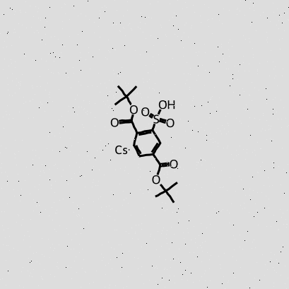 CC(C)(C)OC(=O)c1ccc(C(=O)OC(C)(C)C)c(S(=O)(=O)O)c1.[Cs]